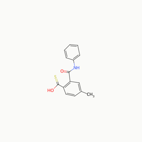 Cc1ccc(C(O)=S)c(C(=O)Nc2ccccc2)c1